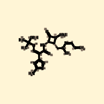 C=N/C=N\N(C)C[C@@H]1[C@H](NC(=O)/C(=N\OC(C)(C)C(=O)O)c2nsc(N)n2)C(=O)N1S(=O)(=O)O